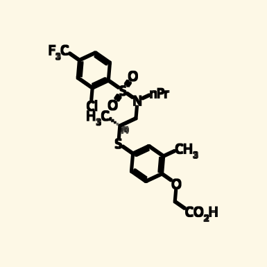 CCCN(C[C@@H](C)Sc1ccc(OCC(=O)O)c(C)c1)S(=O)(=O)c1ccc(C(F)(F)F)cc1Cl